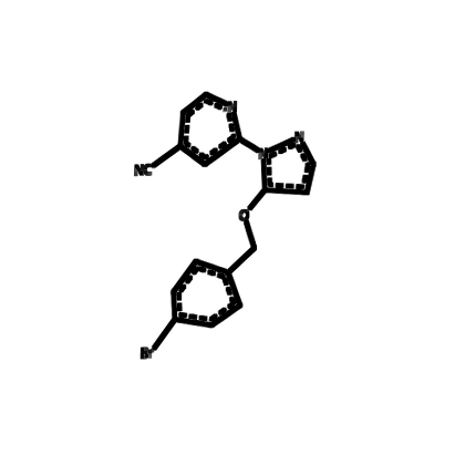 N#Cc1ccnc(-n2nccc2OCc2ccc(Br)cc2)c1